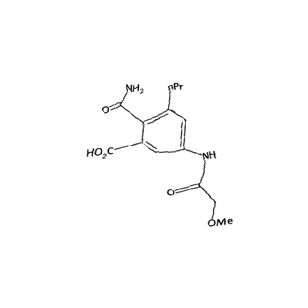 CCCc1cc(NC(=O)COC)cc(C(=O)O)c1C(N)=O